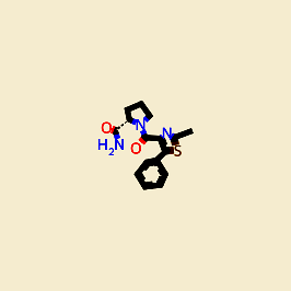 Cc1nc(C(=O)N2CCC[C@H]2C(N)=O)c(-c2ccccc2)s1